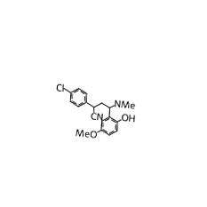 CNC(CC(C#N)c1ccc(Cl)cc1)c1cc(OC)ccc1O